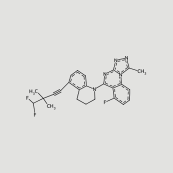 Cc1nnc2nc(N3CCCc4c(C#CC(C)(C)C(F)F)cccc43)c3c(F)cccc3n12